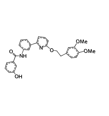 COc1ccc(CCOc2cccc(-c3cccc(NC(=O)c4cccc(O)c4)c3)n2)cc1OC